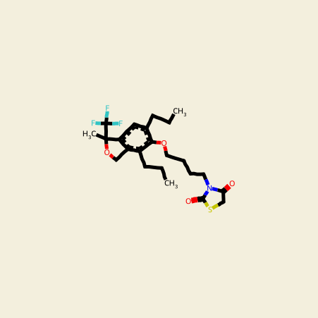 CCCc1cc2c(c(CCC)c1OCCCCN1C(=O)CSC1=O)COC2(C)C(F)(F)F